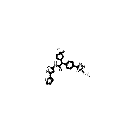 Cn1nnc(-c2ccc(C(C(=O)Nc3cc(-c4ccco4)no3)C3CCC(F)(F)C3)cc2)n1